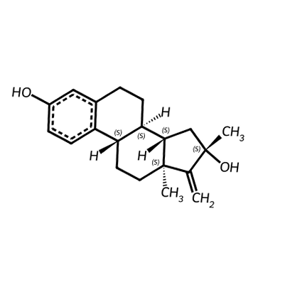 C=C1[C@@](C)(O)C[C@H]2[C@@H]3CCc4cc(O)ccc4[C@H]3CC[C@]12C